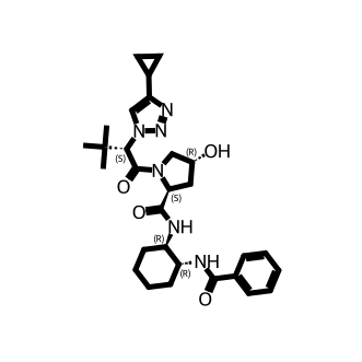 CC(C)(C)[C@@H](C(=O)N1C[C@H](O)C[C@H]1C(=O)N[C@@H]1CCCC[C@H]1NC(=O)c1ccccc1)n1cc(C2CC2)nn1